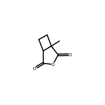 CC12CCC1C(=O)OC2=O